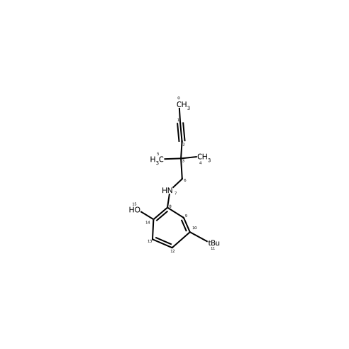 CC#CC(C)(C)CNc1cc(C(C)(C)C)ccc1O